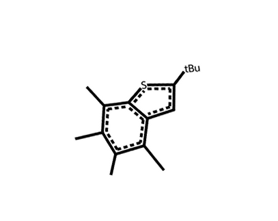 Cc1c(C)c(C)c2sc(C(C)(C)C)cc2c1C